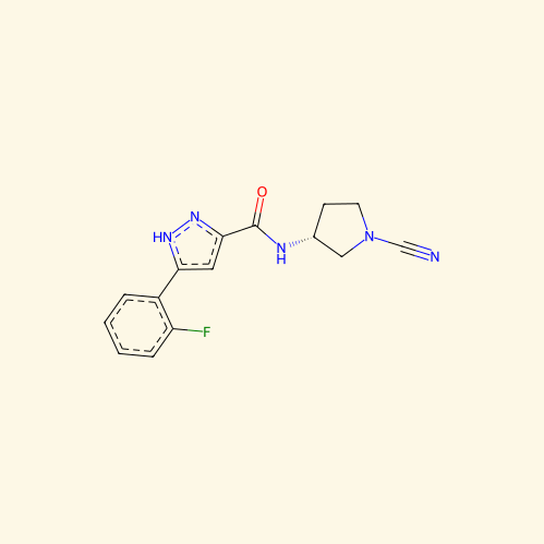 N#CN1CC[C@@H](NC(=O)c2cc(-c3ccccc3F)[nH]n2)C1